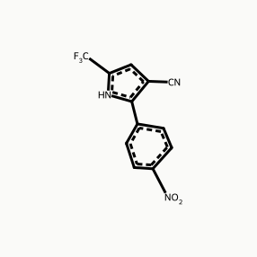 N#Cc1cc(C(F)(F)F)[nH]c1-c1ccc([N+](=O)[O-])cc1